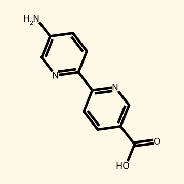 Nc1ccc(-c2ccc(C(=O)O)cn2)nc1